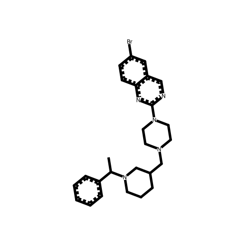 CC(c1ccccc1)N1CCCC(CN2CCN(c3ncc4cc(Br)ccc4n3)CC2)C1